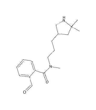 CN(CCCC1CNC(C)(C)C1)C(=O)c1ccccc1C=O